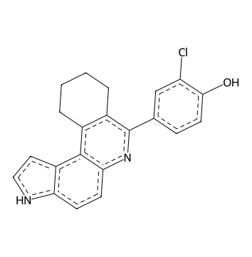 Oc1ccc(-c2nc3ccc4[nH]ccc4c3c3c2CCCC3)cc1Cl